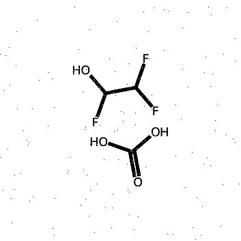 O=C(O)O.OC(F)C(F)F